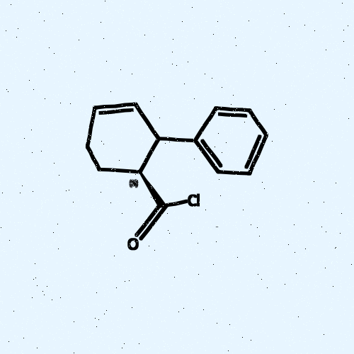 O=C(Cl)[C@H]1CCC=CC1c1ccccc1